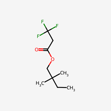 CCC(C)(C)COC(=O)CC(F)(F)F